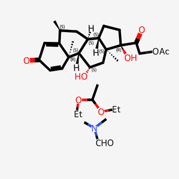 CC(=O)OCC(=O)[C@@]1(O)CC[C@H]2[C@@H]3C[C@H](C)C4=CC(=O)C=C[C@]4(C)[C@H]3[C@@H](O)C[C@@]21C.CCOC(C)OCC.CN(C)C=O